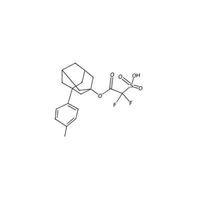 Cc1ccc(C23CC4CC(CC(OC(=O)C(F)(F)S(=O)(=O)O)(C4)C2)C3)cc1